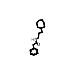 O=C(Cc1ccccc1)NCCCC1CCCCCC1